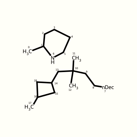 CC1CCCCN1.CCCCCCCCCCCCC(C)(C)CC1CC(C)C1